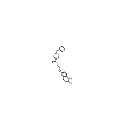 O=C1CCc2cc(OCCCC(=O)N3CCC(Cc4ccccc4)CC3)ccc2N1